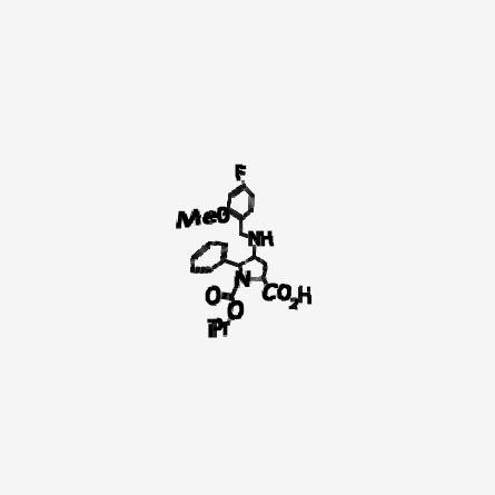 COc1cc(F)ccc1CNC1CC(C(=O)O)N(C(=O)OC(C)C)C1c1ccccc1